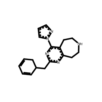 C1=CCC(Cc2nc3c(c(-n4cccn4)n2)CCNCC3)C=C1